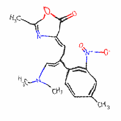 CC1=NC(=CC(=CN(C)C)c2ccc(C)cc2[N+](=O)[O-])C(=O)O1